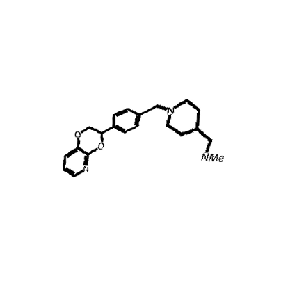 CNCC1CCN(Cc2ccc(C3COc4cccnc4O3)cc2)CC1